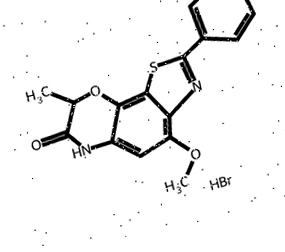 Br.COc1cc2c(c3sc(-c4ccncc4)nc13)OC(C)C(=O)N2